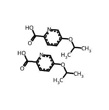 CC(C)Oc1ccc(C(=O)O)nc1.CC(C)Oc1ccc(C(=O)O)nc1